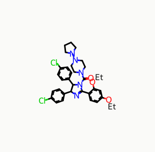 CCOc1ccc(C2=NC(c3ccc(Cl)cc3)C(c3ccc(Cl)cc3)N2C(=O)N2CCN(N3CCCC3)CC2)c(OCC)c1